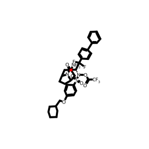 NC1CC2CCC(C1)N2C(=O)[C@@H](N(OC(=O)C(F)(F)F)S(=O)(=O)c1ccc(OCC2CCCCC2)cc1)C(F)(F)c1ccc(-c2ccccc2)cc1